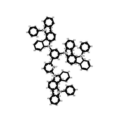 C1=CC2c3c(ccc4c5ccccc5n(-c5ccccc5)c34)N(c3cc(-c4cccc(-n5c6c(c7c5ccc5c8ccccc8n(-c8ccccc8)c57)C=CCC6)n4)cc(-n4c5ccccc5c5c6c(ccc54)C4C=CC=CC4N6c4ccccc4)c3)C2C=C1